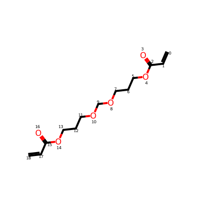 C=CC(=O)OCCCOCOCCCOC(=O)C=C